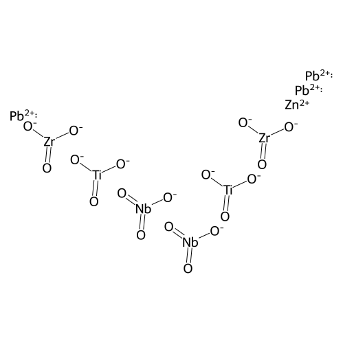 [O]=[Nb](=[O])[O-].[O]=[Nb](=[O])[O-].[O]=[Ti]([O-])[O-].[O]=[Ti]([O-])[O-].[O]=[Zr]([O-])[O-].[O]=[Zr]([O-])[O-].[Pb+2].[Pb+2].[Pb+2].[Zn+2]